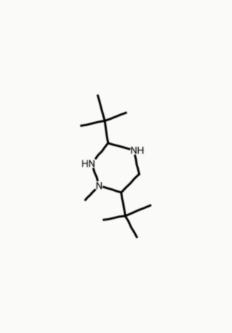 CN1NC(C(C)(C)C)NCC1C(C)(C)C